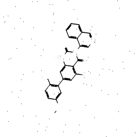 COc1ccc(Cl)c(-c2cc(F)c3c(=O)n(-c4cncc5ccccc45)c(=O)[nH]c3c2)c1